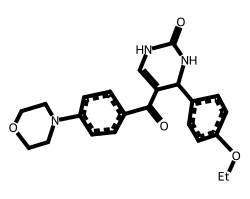 CCOc1ccc(C2NC(=O)NC=C2C(=O)c2ccc(N3CCOCC3)cc2)cc1